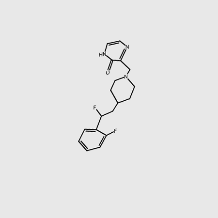 O=c1[nH]ccnc1CN1CCC(CC(F)c2ccccc2F)CC1